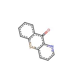 O=c1c2ccccc2sc2cccnc12